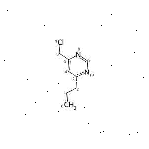 C=CCc1cc(CCl)ncn1